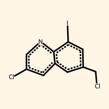 ClCc1cc(I)c2ncc(Cl)cc2c1